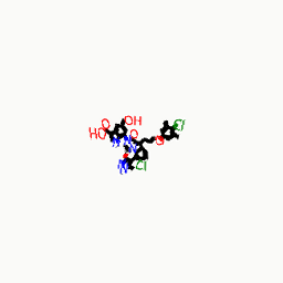 Cc1cc(OCCCc2c3n(c4c(-c5c(C)nn(C)c5C)c(Cl)ccc24)[C@H](C)CN(c2cc(CO)cc4c(C(=O)O)cn(C)c24)C3=O)cc(C)c1Cl